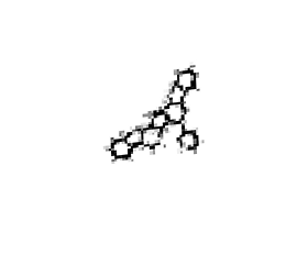 c1ccc(-c2cc3c4ccccc4sc3c3[nH]c4c(ccc5c6ccccc6sc54)c23)cc1